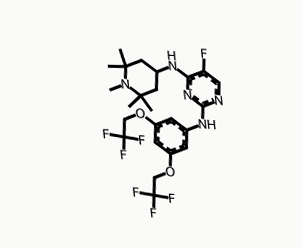 CN1C(C)(C)CC(Nc2nc(Nc3cc(OCC(F)(F)F)cc(OCC(F)(F)F)c3)ncc2F)CC1(C)C